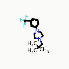 CC(C)(C)CN1CCN(c2cc[c]c(C(F)(F)F)c2)CC1